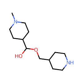 CN1CCC(C(O)OCC2CCNCC2)CC1